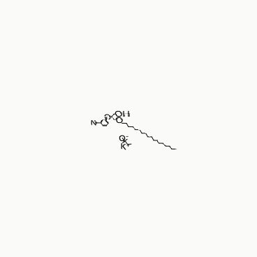 CCC(C)(C)[O-].CCCCCCCCCCCCCCCCCCOC[C@H](CO)Oc1cccc(C#N)c1.[K+]